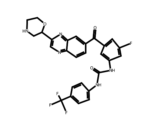 O=C(Nc1ccc(C(F)(F)F)cc1)Nc1cc(F)cc(C(=O)c2ccc3ncc(C4CNCCO4)nc3c2)c1